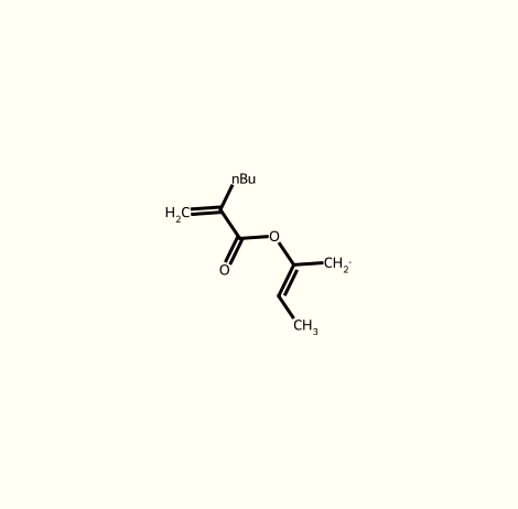 [CH2]C(=CC)OC(=O)C(=C)CCCC